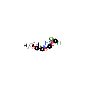 CC(C)Oc1ccc(-c2ccc3oc(-c4cccc(NS(=O)(=O)c5cc(Cl)ccc5Cl)c4)nc3c2)cc1